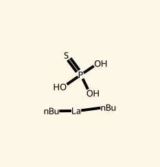 CCC[CH2][La][CH2]CCC.OP(O)(O)=S